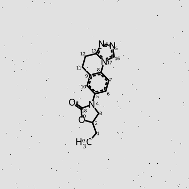 CCC1CN(c2ccc3c(c2)CCc2nncn2-3)C(=O)O1